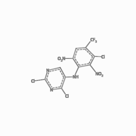 O=[N+]([O-])c1cc(C(F)(F)F)c(Cl)c([N+](=O)[O-])c1Nc1cnc(Cl)nc1Cl